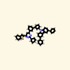 c1ccc(-c2ccc3c(c2)c2cc(-c4ccccc4)ccc2n3-c2cccc(-c3cccc(-c4cc(-c5cc6ccccc6s5)nc(-c5ccccc5)n4)c3)c2)cc1